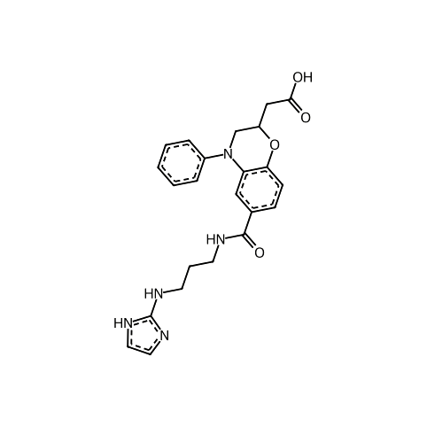 O=C(O)CC1CN(c2ccccc2)c2cc(C(=O)NCCCNc3ncc[nH]3)ccc2O1